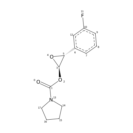 O=C(O[C@H]1O[C@@H]1c1cccc(F)c1)N1CCCC1